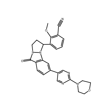 COc1c(C#N)cccc1C1CCn2c(=O)c3ccc(-c4cnc(N5CCOCC5)nc4)cc3n21